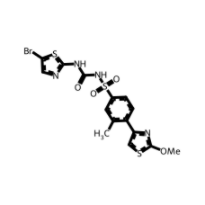 COc1nc(-c2ccc(S(=O)(=O)NC(=O)Nc3ncc(Br)s3)cc2C)cs1